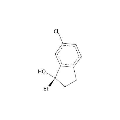 CC[C@]1(O)CCc2ccc(Cl)cc21